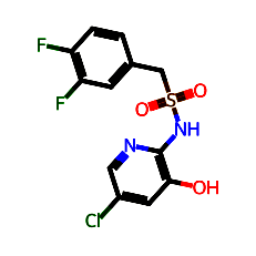 O=S(=O)(Cc1ccc(F)c(F)c1)Nc1ncc(Cl)cc1O